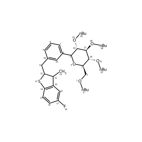 CCCCOC[C@H]1OC(c2cccc(CC3Sc4ccc(F)cc4C3C)c2)[C@H](OCCCC)[C@@H](OCCCC)[C@@H]1OCCCC